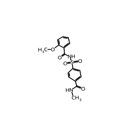 CNC(=O)c1ccc(S(=O)(=O)NC(=O)c2ccccc2OC)cc1